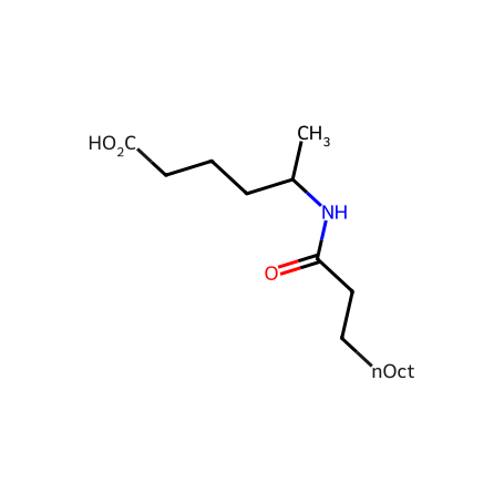 CCCCCCCCCCC(=O)NC(C)CCCC(=O)O